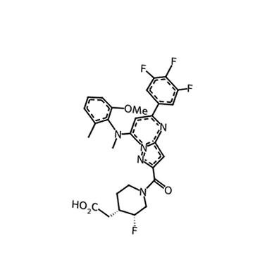 COc1cccc(C)c1N(C)c1cc(-c2cc(F)c(F)c(F)c2)nc2cc(C(=O)N3CC[C@@H](CC(=O)O)[C@@H](F)C3)nn12